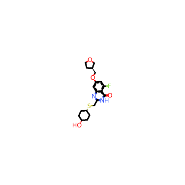 O=c1[nH]c(CS[C@H]2CC[C@H](O)CC2)nc2cc(OC[C@H]3CCOC3)cc(F)c12